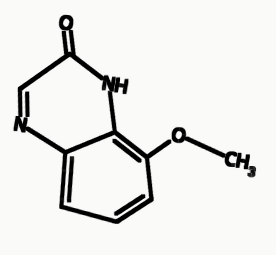 COc1cccc2ncc(=O)[nH]c12